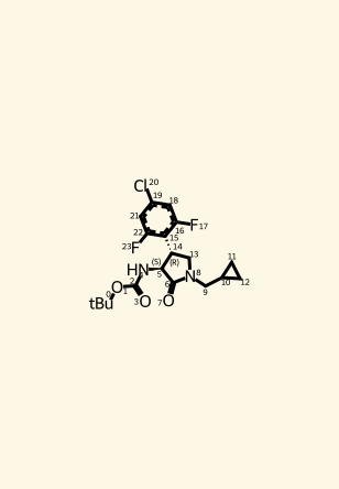 CC(C)(C)OC(=O)N[C@@H]1C(=O)N(CC2CC2)C[C@H]1c1c(F)cc(Cl)cc1F